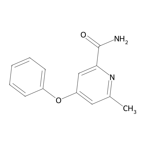 Cc1cc(Oc2ccccc2)cc(C(N)=O)n1